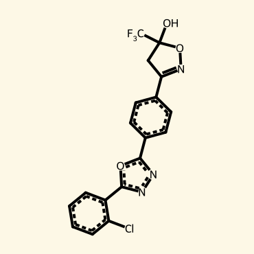 OC1(C(F)(F)F)CC(c2ccc(-c3nnc(-c4ccccc4Cl)o3)cc2)=NO1